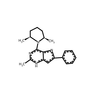 Cc1nc(N2[C@H](C)CCC[C@@H]2C)c2nc(-c3ccccc3)cc-2[nH]1